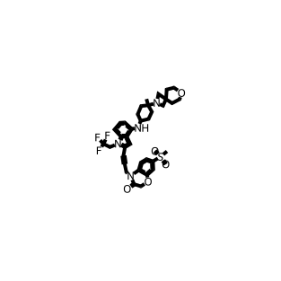 CC1(N2CC3(CCOCC3)C2)CCC(Nc2cccc3c2cc(C#CCN2C(=O)COc4cc(S(C)(=O)=O)ccc42)n3CC(F)(F)F)CC1